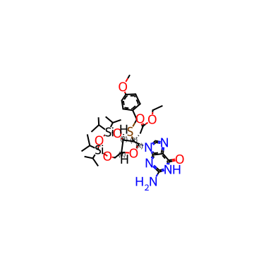 CCOC(=O)C[C@@]1(SCc2ccc(OC)cc2)[C@@H]2O[Si](C(C)C)(C(C)C)O[Si](C(C)C)(C(C)C)OC[C@H]2O[C@H]1n1cnc2c(=O)[nH]c(N)nc21